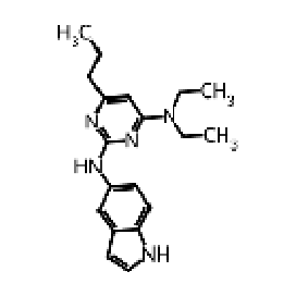 CCCc1cc(N(CC)CC)nc(Nc2ccc3[nH]ccc3c2)n1